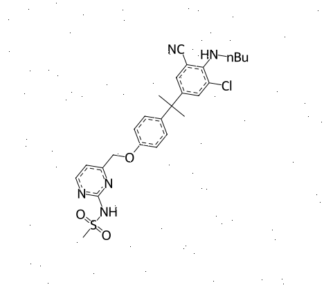 CCCCNc1c(Cl)cc(C(C)(C)c2ccc(OCc3ccnc(NS(C)(=O)=O)n3)cc2)cc1C#N